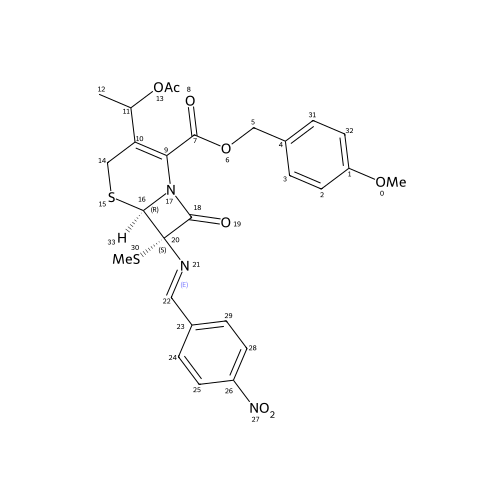 COc1ccc(COC(=O)C2=C(C(C)OC(C)=O)CS[C@H]3N2C(=O)[C@]3(/N=C/c2ccc([N+](=O)[O-])cc2)SC)cc1